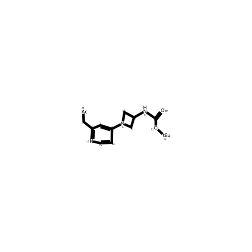 CC(=O)Cc1cc(N2CC(NC(=O)OC(C)(C)C)C2)ccn1